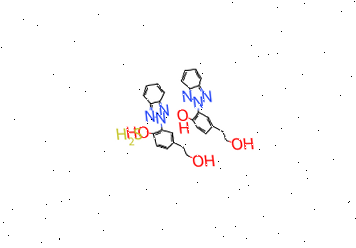 OCCc1ccc(O)c(-n2nc3ccccc3n2)c1.OCCc1ccc(O)c(-n2nc3ccccc3n2)c1.S